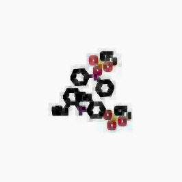 CC(C)(C)c1ccccc1[I+]c1ccccc1C(C)(C)C.O=S(=O)([O-])C(F)(F)F.O=S(=O)([O-])C(F)(F)F.c1ccc([I+]c2ccccc2)cc1